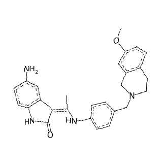 COc1ccc2c(c1)CN(Cc1ccc(NC(C)=C3C(=O)Nc4ccc(N)cc43)cc1)CC2